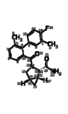 Cc1cc(-c2c(C)cccc2C(=O)N2C[C@H]3C[C@H]3[C@H]2C(N)=O)ccc1F